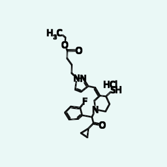 CCOC(=O)CCCn1ccc(/C=C2\CN(C(C(=O)C3CC3)c3ccccc3F)CCC2S)n1.Cl